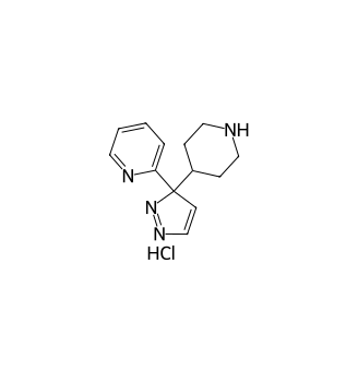 C1=CC(c2ccccn2)(C2CCNCC2)N=N1.Cl